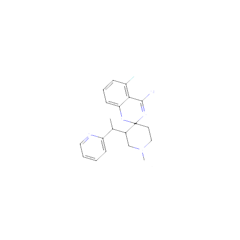 CCC(c1ccccn1)C1CN(C(=O)O)CCC12N=C(N)c1c(F)cccc1N2